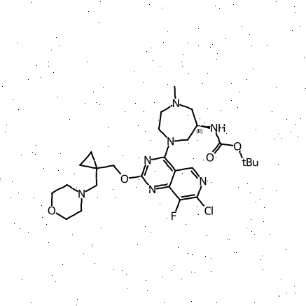 CN1CCN(c2nc(OCC3(CN4CCOCC4)CC3)nc3c(F)c(Cl)ncc23)C[C@H](NC(=O)OC(C)(C)C)C1